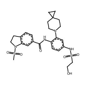 CS(=O)(=O)N1CCc2ccc(C(=O)Nc3ccc(NS(=O)(=O)CCO)cc3N3CCC4(CC3)CC4)cc21